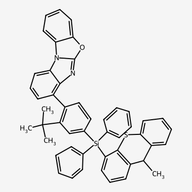 CC1c2ccccc2Sc2c1cccc2[Si](c1ccccc1)(c1ccccc1)c1ccc(-c2cccc3c2nc2oc4ccccc4n23)c(C(C)(C)C)c1